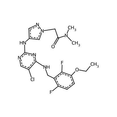 CCOc1ccc(F)c(CNc2nc(Nc3cnn(CC(=O)N(C)C)c3)ncc2Cl)c1F